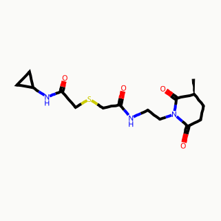 C[C@H]1CCC(=O)N(CCNC(=O)CSCC(=O)NC2CC2)C1=O